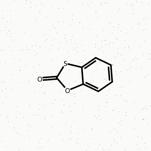 O=c1oc2cc[c]cc2s1